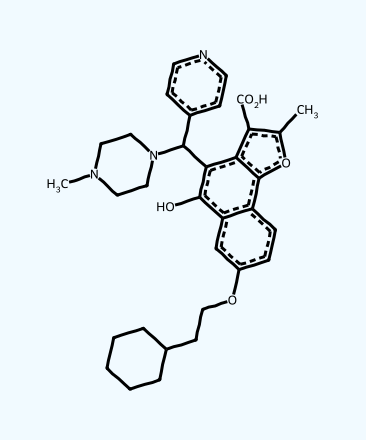 Cc1oc2c(c1C(=O)O)c(C(c1ccncc1)N1CCN(C)CC1)c(O)c1cc(OCCC3CCCCC3)ccc12